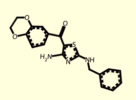 Nc1nc(NCc2ccccc2)sc1C(=O)c1ccc2c(c1)OCCO2